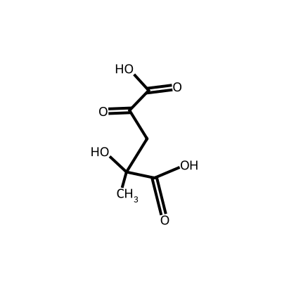 CC(O)(CC(=O)C(=O)O)C(=O)O